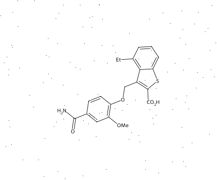 CCc1cccc2sc(C(=O)O)c(COc3ccc(C(N)=O)cc3OC)c12